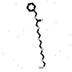 O=CCOCCOCCOCCOCC(=O)OCc1ccccc1